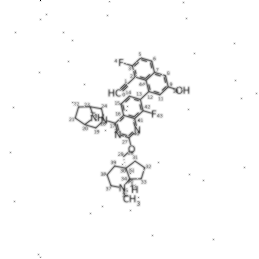 C#Cc1c(F)ccc2cc(O)cc(-c3ccc4c(N5CC6CCC(C5)N6)nc(OC[C@]56CCC[C@H]5N(C)CCC6)nc4c3F)c12